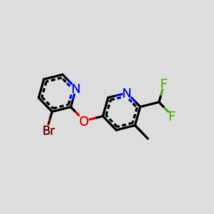 Cc1cc(Oc2ncccc2Br)cnc1C(F)F